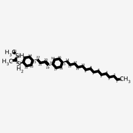 CCCCCCCCCCCCCCC[C@H]1CC[C@H](/C=C/CC[C@H]2CC[C@H]([SiH2]C(C)[SiH2]C)CC2)CC1